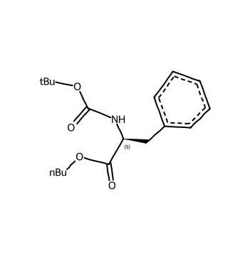 CCCCOC(=O)[C@H](Cc1ccccc1)NC(=O)OC(C)(C)C